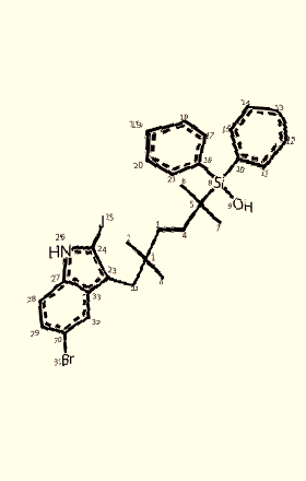 CC(C)(CCC(C)(C)[Si](O)(c1ccccc1)c1ccccc1)Cc1c(I)[nH]c2ccc(Br)cc12